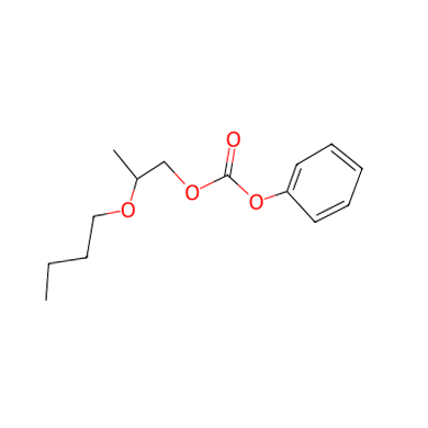 CCCCOC(C)COC(=O)Oc1ccccc1